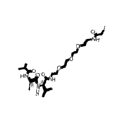 CC(C)C(=O)N[C@H](C)C(=O)N[C@@H](C(=O)NCCOCCOCCOCCNC(=O)CI)C(C)C